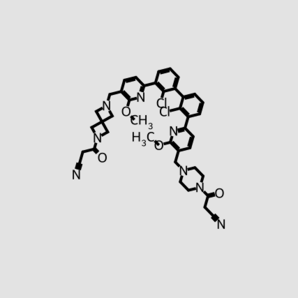 COc1nc(-c2cccc(-c3cccc(-c4ccc(CN5CC6(C5)CN(C(=O)CC#N)C6)c(OC)n4)c3Cl)c2Cl)ccc1CN1CCN(C(=O)CC#N)CC1